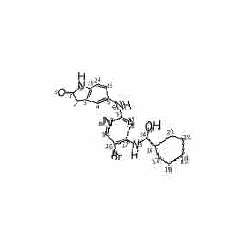 O=C1Cc2cc(Nc3ncc(Br)c(NC(O)C4CCCCC4)n3)ccc2N1